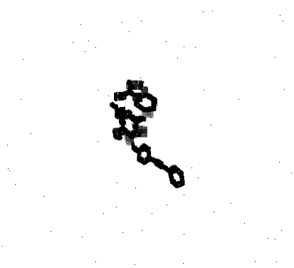 CCCNC(=O)[C@H](Cc1ccc(C#Cc2ccccc2)cc1)NC(=O)C[C@H]1CCCN(C(=N)N)C1